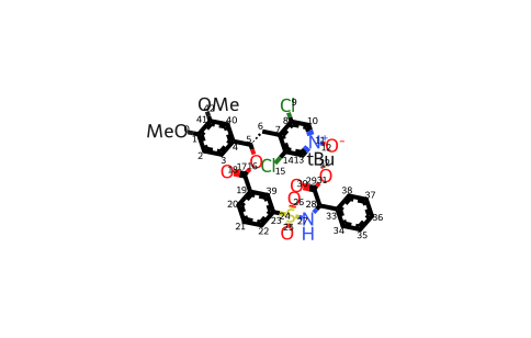 COc1ccc([C@H](Cc2c(Cl)c[n+]([O-])cc2Cl)OC(=O)c2cccc(S(=O)(=O)NC(C(=O)OC(C)(C)C)c3ccccc3)c2)cc1OC